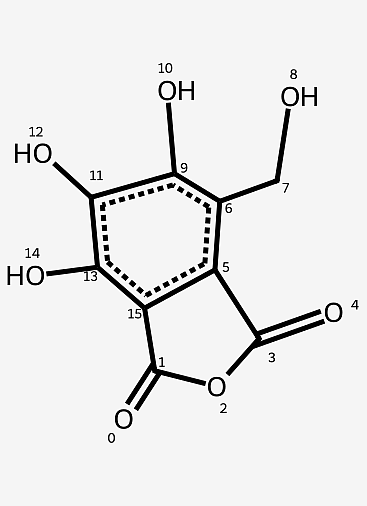 O=C1OC(=O)c2c(CO)c(O)c(O)c(O)c21